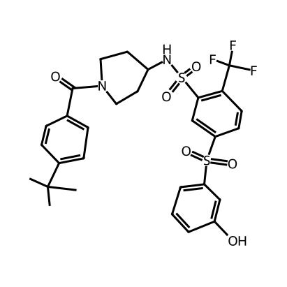 CC(C)(C)c1ccc(C(=O)N2CCC(NS(=O)(=O)c3cc(S(=O)(=O)c4cccc(O)c4)ccc3C(F)(F)F)CC2)cc1